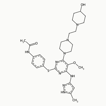 COc1c(Nc2cc(C)[nH]n2)nc(Sc2ccc(NC(C)=O)cc2)nc1N1CCN(CCN2CCC(O)CC2)CC1